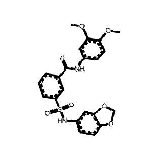 COc1ccc(NC(=O)c2cccc(S(=O)(=O)Nc3ccc4c(c3)OCO4)c2)cc1OC